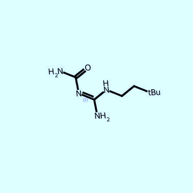 CC(C)(C)CCN/C(N)=N\C(N)=O